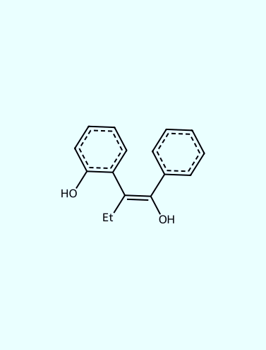 CCC(=C(O)c1ccccc1)c1ccccc1O